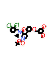 COc1cc(COc2cccc(C3=C(C(=O)N(Cc4cccc(Cl)c4Cl)C4CC4)CN(C(=O)OC(C)(C)C)CC3)c2)cc(OC)c1